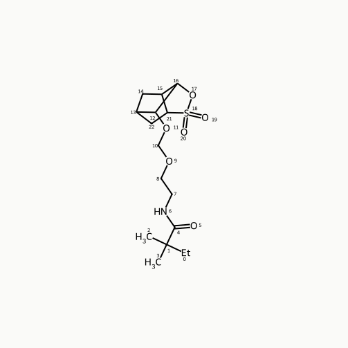 CCC(C)(C)C(=O)NCCOCOC1C2CC3C1OS(=O)(=O)C3C2